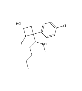 CCCCC(NC)C1(c2ccc(Cl)cc2)CCC1I.Cl